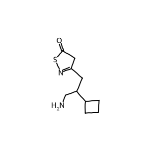 NCC(CC1=NSC(=O)C1)C1CCC1